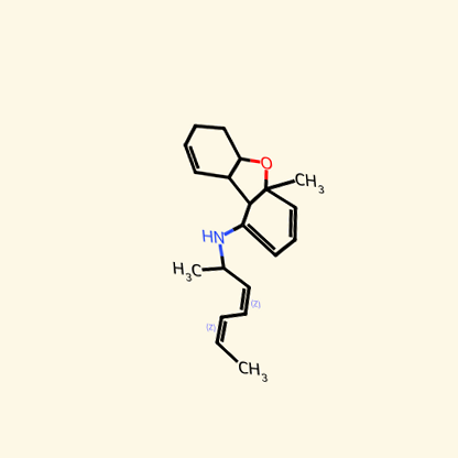 C/C=C\C=C/C(C)NC1=CC=CC2(C)OC3CCC=CC3C12